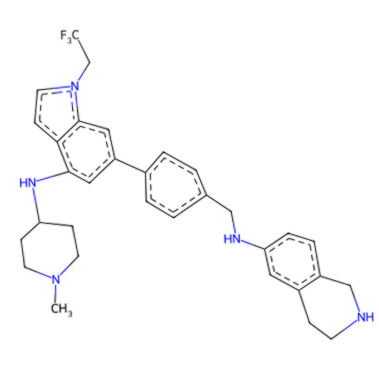 CN1CCC(Nc2cc(-c3ccc(CNc4ccc5c(c4)CCNC5)cc3)cc3c2ccn3CC(F)(F)F)CC1